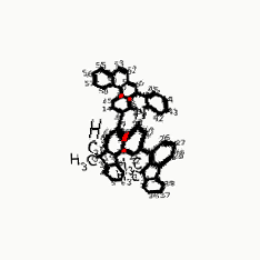 CC1(C)c2ccccc2-c2ccc(-c3ccccc3N(c3cccc(-c4cccc5c4C(C)(C)c4ccccc4-5)c3)c3ccccc3-c3ccc4c(ccc5ccccc54)c3)cc21